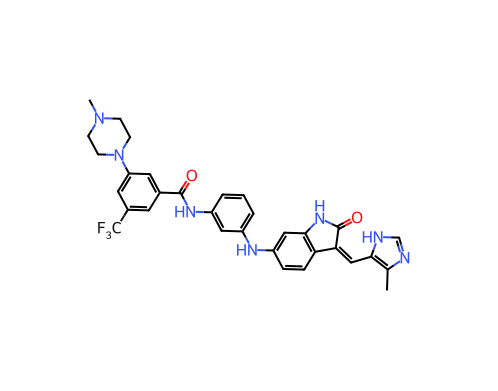 Cc1nc[nH]c1/C=C1\C(=O)Nc2cc(Nc3cccc(NC(=O)c4cc(N5CCN(C)CC5)cc(C(F)(F)F)c4)c3)ccc21